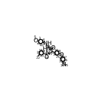 COc1ccc(NCCNC(=O)C(CNC(=O)c2cccc(C)c2)c2ccc(Oc3ccc(N(C)C)cc3)cc2)cc1